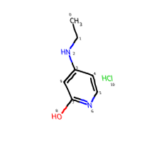 CCNc1ccnc(O)c1.Cl